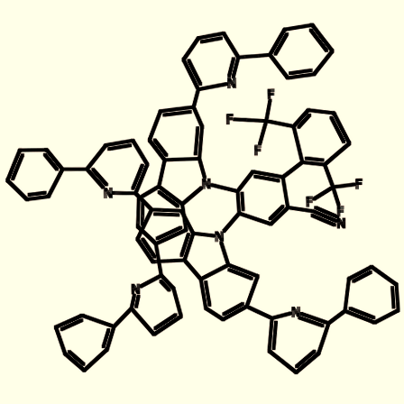 N#Cc1cc(-n2c3cc(-c4cccc(-c5ccccc5)n4)ccc3c3ccc(-c4cccc(-c5ccccc5)n4)cc32)c(-n2c3cc(-c4cccc(-c5ccccc5)n4)ccc3c3ccc(-c4cccc(-c5ccccc5)n4)cc32)cc1-c1c(C(F)(F)F)cccc1C(F)(F)F